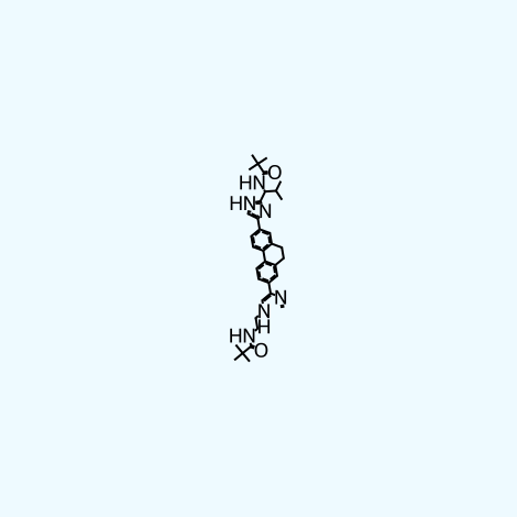 C=N/C(=C\NCCNC(=O)C(C)(C)C)c1ccc2c(c1)CCc1cc(-c3c[nH]c(C(NC(=O)C(C)(C)C)C(C)C)n3)ccc1-2